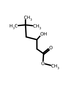 COC(=O)CC(O)CC(C)(C)C